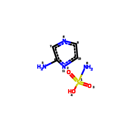 NS(=O)(=O)O.Nc1cnccn1